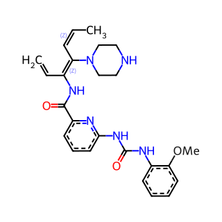 C=C/C(NC(=O)c1cccc(NC(=O)Nc2ccccc2OC)n1)=C(\C=C/C)N1CCNCC1